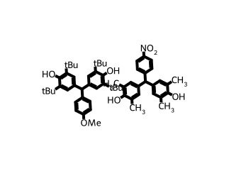 COc1ccc(C(c2cc(C(C)(C)C)c(O)c(C(C)(C)C)c2)c2cc(C(C)(C)C)c(O)c(C(C)(C)C)c2)cc1.Cc1cc(C(c2ccc([N+](=O)[O-])cc2)c2cc(C)c(O)c(C)c2)cc(C)c1O